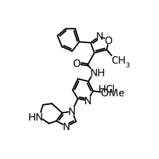 COc1nc(-n2cnc3c2CCNC3)ccc1NC(=O)c1c(-c2ccccc2)noc1C.Cl